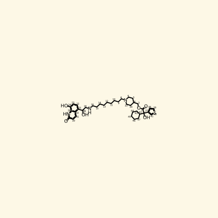 O=C(OCC1CCN(CCCCCCCCCNC[C@@H](O)c2ccc(O)c3[nH]c(=O)ccc23)CC1)C(O)(c1ccsc1)C1CCCCC1